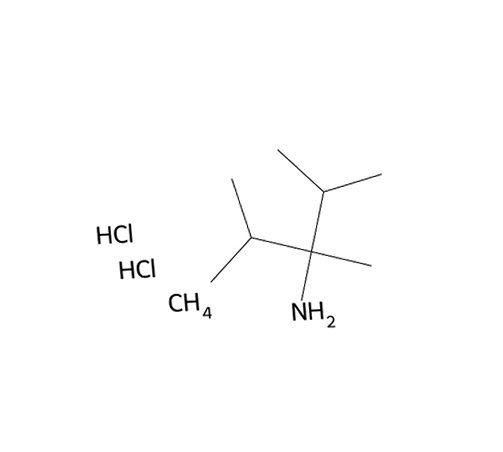 C.CC(C)C(C)(N)C(C)C.Cl.Cl